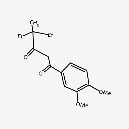 CCC(C)(CC)C(=O)CC(=O)c1ccc(OC)c(OC)c1